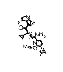 COc1nc(/C(N)=N/OC(C(=O)c2cn(C)c3nccc(F)c23)C2CC2)ccc1-n1cnc(C)c1